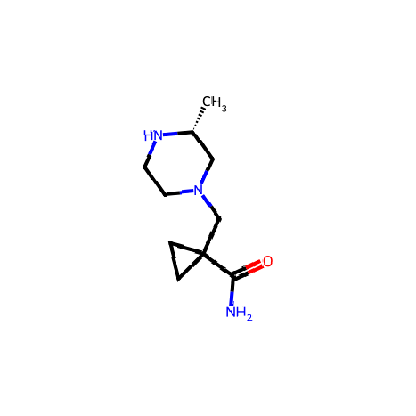 C[C@@H]1CN(CC2(C(N)=O)CC2)CCN1